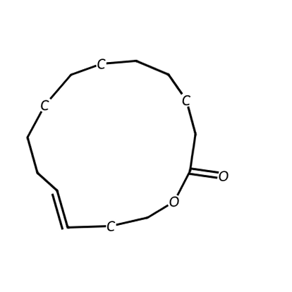 O=C1CCCCCCCCC/C=C/CCO1